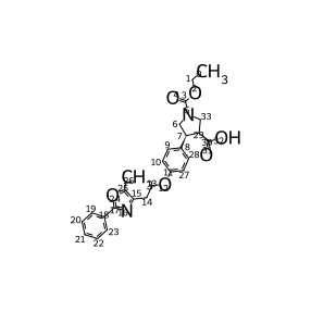 CCOC(=O)N1C[C@H](c2ccc(OCCc3nc(-c4ccccc4)oc3C)cc2)[C@H](C(=O)O)C1